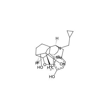 CC(C)(C)[C@@](C)(O)[C@H]1CC23CCC([C@@H]1O)[C@@H]1Oc4c(O)ccc5c4[C@@]12CCN(CC1CC1)[C@@H]3C5